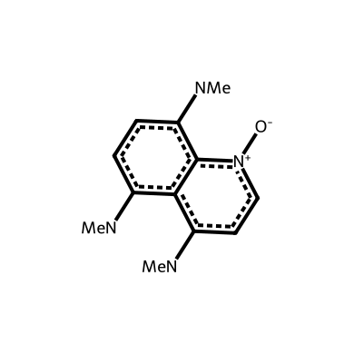 CNc1ccc(NC)c2c1c(NC)cc[n+]2[O-]